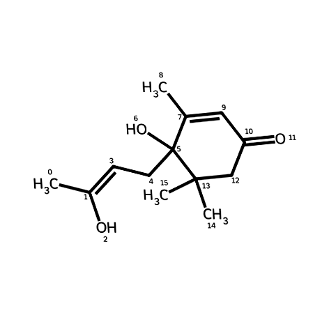 CC(O)=CCC1(O)C(C)=CC(=O)CC1(C)C